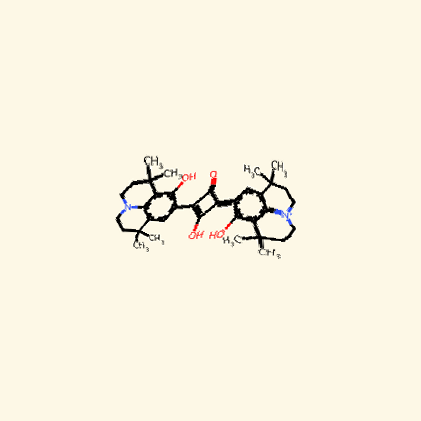 CC1(C)CCN2CCC(C)(C)c3c(O)c(C4=C(O)/C(=c5/cc6c7c(c5O)C(C)(C)CC[N+]=7CCC6(C)C)C4=O)cc1c32